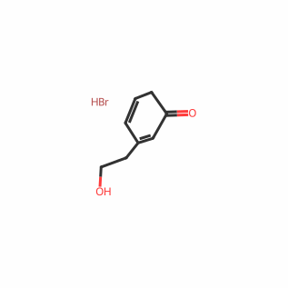 Br.O=C1C=C(CCO)C=CC1